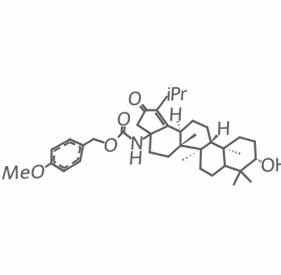 COc1ccc(COC(=O)NC23CC[C@]4(C)[C@H](CC[C@@H]5[C@@]6(C)CC[C@H](O)C(C)(C)C6CC[C@]54C)C2=C(C(C)C)C(=O)C3)cc1